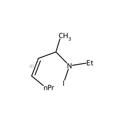 CCC/C=C\C(C)N(I)CC